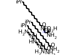 CC(C)CCCCCCCCCCCCCCC(N)=O.CC(C)CCCCCCCCCCCCCCC(N)=O.CC(C)CCCCCCCCCCCCCCC(N)=O.NC(=O)/C=C\C(=O)O.NCCNCCNCCNCCN